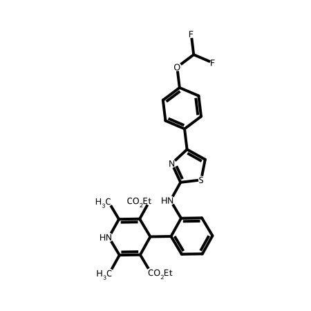 CCOC(=O)C1=C(C)NC(C)=C(C(=O)OCC)C1c1ccccc1Nc1nc(-c2ccc(OC(F)F)cc2)cs1